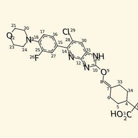 CC(C)(C(=O)O)C1CCC(=COc2nc3nc(-c4ccc(N5CCOCC5)c(F)c4)c(Cl)cc3[nH]2)CC1